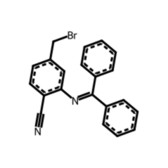 N#Cc1ccc(CBr)cc1N=C(c1ccccc1)c1ccccc1